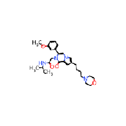 COc1cccc(-c2cn3cc(CCCCN4CCOCC4)cc3c(=O)n2CC(=O)NC(C)C)c1